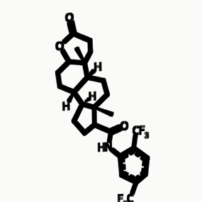 C[C@]12CCC(=O)OC1CC[C@@H]1[C@H]2CC[C@]2(C)C(C(=O)Nc3cc(C(F)(F)F)ccc3C(F)(F)F)CC[C@@H]12